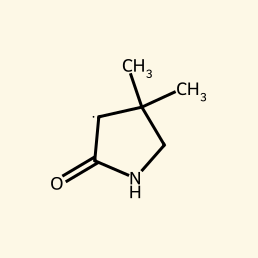 CC1(C)[CH]C(=O)NC1